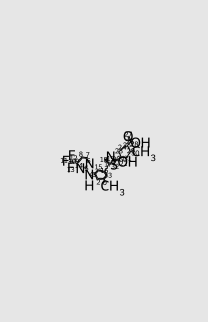 Cc1cc(Nc2nccc(C(F)(F)F)n2)cc(-c2cnc([C@]3(O)CC[C@@H](C(=O)O)[C@@H](C)C3)s2)c1